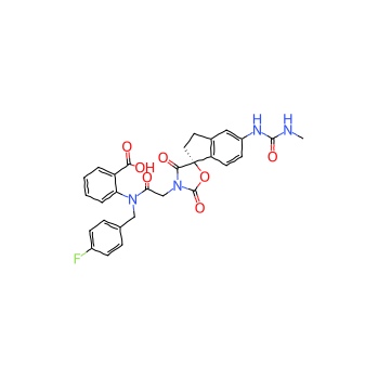 CNC(=O)Nc1ccc2c(c1)CC[C@@]21OC(=O)N(CC(=O)N(Cc2ccc(F)cc2)c2ccccc2C(=O)O)C1=O